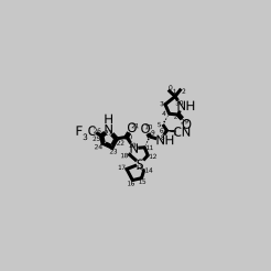 CC1(C)C[C@@H](C[C@@H](C#N)NC(=O)[C@@H]2CS3(CCCC3)CN2C(=O)c2ccc(C(F)(F)F)[nH]2)C(=O)N1